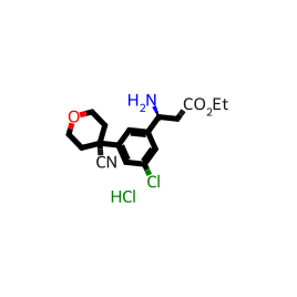 CCOC(=O)C[C@H](N)c1cc(Cl)cc(C2(C#N)CCOCC2)c1.Cl